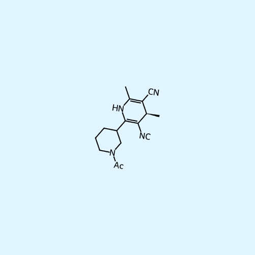 [C-]#[N+]C1=C(C2CCCN(C(C)=O)C2)NC(C)=C(C#N)[C@H]1C